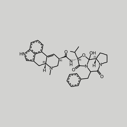 CC(C)[C@@]1(NC(=O)[C@@H]2C=C3c4cccc5[nH]cc(c45)C[C@H]3N(C)C2)OC2(O)[C@@H]3CCCN3C(=O)C(Cc3ccccc3)N2C1=O